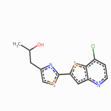 CC(O)Cc1csc(-c2cc3nccc(Cl)c3s2)n1